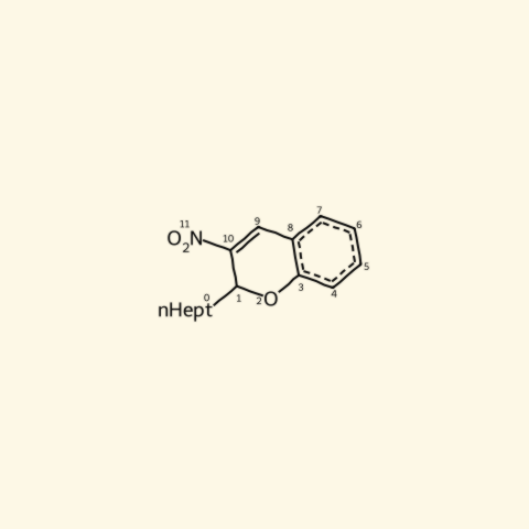 CCCCCCCC1Oc2ccccc2C=C1[N+](=O)[O-]